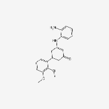 COc1cccc(C2CC(=O)C=C(Nc3ccccc3N)C2)c1OC